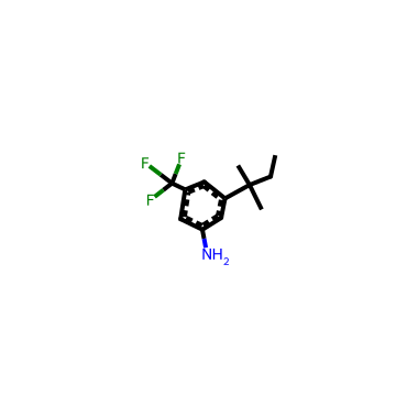 CCC(C)(C)c1cc(N)cc(C(F)(F)F)c1